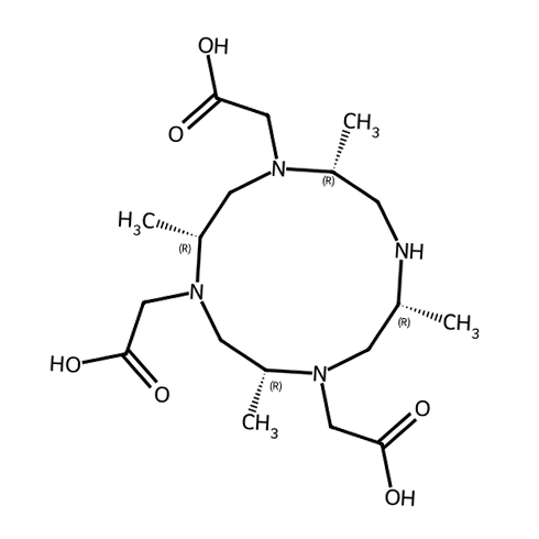 C[C@@H]1CN(CC(=O)O)[C@H](C)CN(CC(=O)O)[C@H](C)CN(CC(=O)O)[C@H](C)CN1